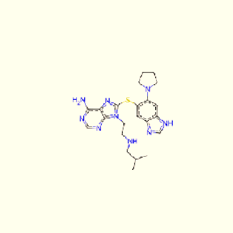 CC(C)CNCCn1c(Sc2cc3nc[nH]c3cc2N2CCCC2)nc2c(N)ncnc21